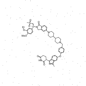 CCOc1cc([C@@H](CS(C)(=O)=O)N2Cc3cc(N4CCC(C5CCN(Cc6ccc(Oc7ccc8c(C9CCC(=O)NC9=O)nn(C)c8c7)cc6)CC5)CC4)ccc3C2=O)ccc1OC